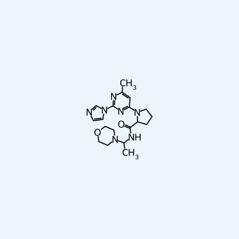 Cc1cc(N2CCCC2C(=O)NC(C)N2CCOCC2)nc(-n2ccnc2)n1